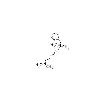 CN(C)CCCCCC[N+](C)(C)Cc1ccccc1